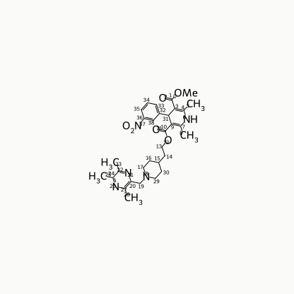 COC(=O)C1=C(C)NC(C)=C(C(=O)OCCC2CCN(Cc3nc(C)c(C)nc3C)CC2)C1c1cccc([N+](=O)[O-])c1